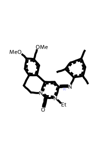 CCn1c(=O)n2c(c/c1=N\c1c(C)cc(C)cc1C)-c1cc(OC)c(OC)cc1CC2